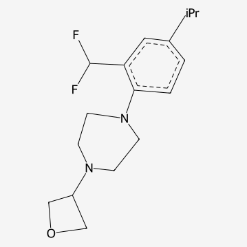 CC(C)c1ccc(N2CCN(C3COC3)CC2)c(C(F)F)c1